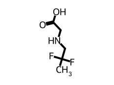 CC(F)(F)CNCC(=O)O